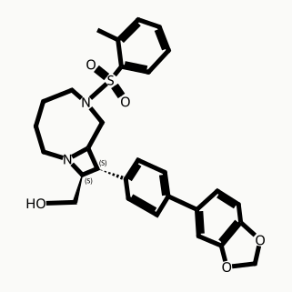 Cc1ccccc1S(=O)(=O)N1CCCCN2C(C1)[C@H](c1ccc(-c3ccc4c(c3)OCO4)cc1)[C@H]2CO